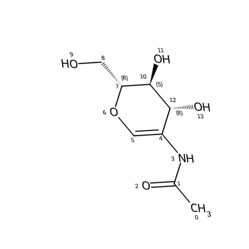 CC(=O)NC1=CO[C@H](CO)[C@@H](O)[C@@H]1O